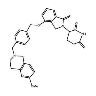 C=C1CCC(N2Cc3c(OCc4ccc(CN5CCc6cc(OC)ccc6C5)cc4)cccc3C2=O)C(=O)N1